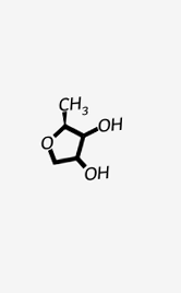 C[C@@H]1OCC(O)C1O